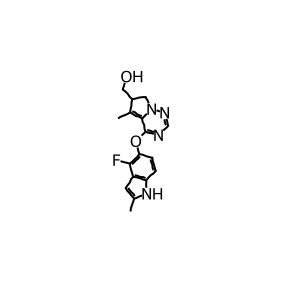 CC1=C2C(Oc3ccc4[nH]c(C)cc4c3F)=NC=NN2CC1CO